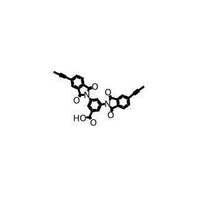 CC#Cc1ccc2c(c1)C(=O)N(c1cc(C(=O)O)cc(N3C(=O)c4ccc(C#CC)cc4C3=O)c1)C2=O